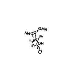 COCCCOc1cc([C@H]2[C@H](C(C)C)C[C@@H]([C@@H](O)C[C@H](COCc3ccccc3)C(C)C)N2C)ccc1OC